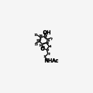 CC(=O)NCCC1Cc2c(C)c(O)c(C)c(C)c2O1